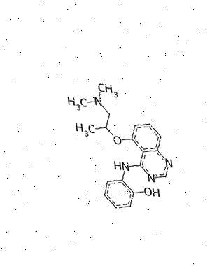 CC(CN(C)C)Oc1cccc2ncnc(Nc3ccccc3O)c12